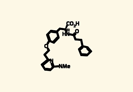 CNc1cccc(CCOc2ccc(C[C@H](NC(=O)CCc3ccccc3)C(=O)O)cc2)n1